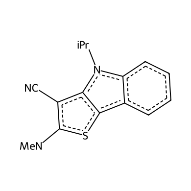 CNc1sc2c3ccccc3n(C(C)C)c2c1C#N